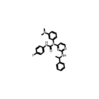 CC(Nc1nccc(N(C(=O)Nc2ccc(F)cc2)c2cccc(N(C)C)c2)n1)c1ccccc1